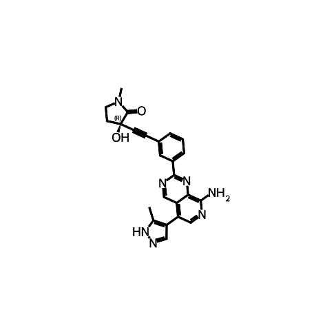 Cc1[nH]ncc1-c1cnc(N)c2nc(-c3cccc(C#C[C@]4(O)CCN(C)C4=O)c3)ncc12